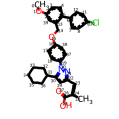 COc1ccc(-c2ccc(Cl)cc2)c(COc2ccc(-n3nc(C=C(C)C(=O)O)cc3C3CCCCC3)cc2)c1